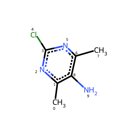 Cc1nc(Cl)nc(C)c1N